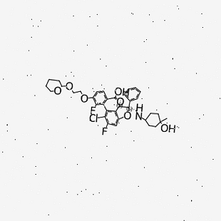 C[C@H]1c2c(cc(F)c(Cl)c2-c2c(C(=O)O)ccc(OCCOC3CCCCO3)c2F)O[C@]1(CNC1CCC(C)(O)CC1)c1ccccc1